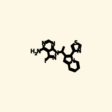 CC(c1cc2ccccn2c1-c1cscn1)n1nc(I)c2c(N)ncnc21